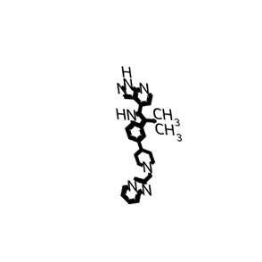 CC(C)c1c(-c2ccnc3[nH]ncc23)[nH]c2ccc(C3CCN(Cc4cn5ccccc5n4)CC3)cc12